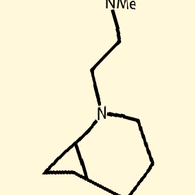 CNCCN1CCCC2CC21